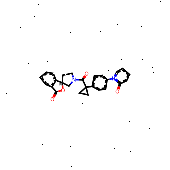 O=C1O[C@]2(CCN(C(=O)C3(c4ccc(-n5ccccc5=O)cc4)CC3)C2)c2ccccc21